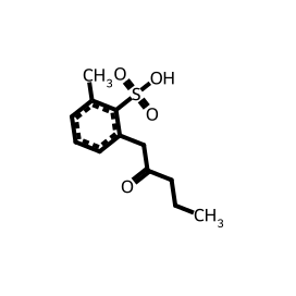 CCCC(=O)Cc1cccc(C)c1S(=O)(=O)O